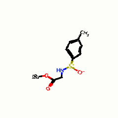 Cc1ccc([S+]([O-])NCC(=O)OC(C)(C)C)cc1